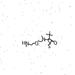 CNCCOCCN(C)c1c(C(C)(C)C)c(=O)c1=S